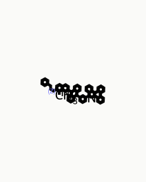 Cc1c(/C=C\Cc2ccccc2)ccc2ccc(-c3c4ccccc4c(-c4cccc(-c5nc6c7ccccc7c7ccccc7c6c6ccccc56)c4)c4ccccc34)nc12